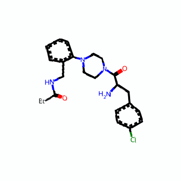 CCC(=O)NCc1ccccc1N1CCN(C(=O)C(N)Cc2ccc(Cl)cc2)CC1